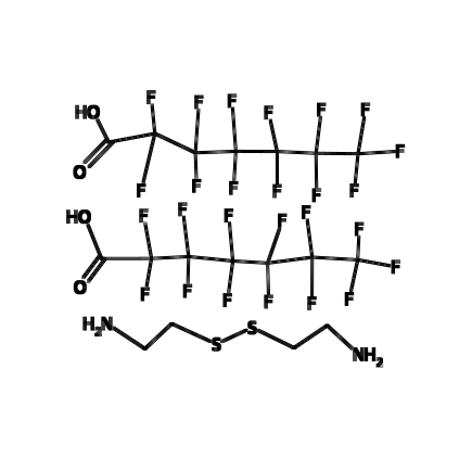 NCCSSCCN.O=C(O)C(F)(F)C(F)(F)C(F)(F)C(F)(F)C(F)(F)C(F)(F)F.O=C(O)C(F)(F)C(F)(F)C(F)(F)C(F)(F)C(F)(F)C(F)(F)F